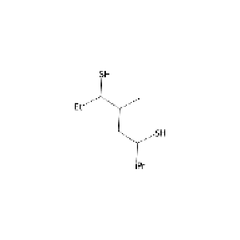 CCC(S)C(C)CC(S)C(C)C